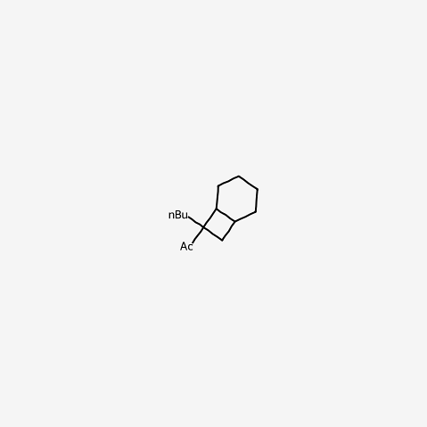 CCCCC1(C(C)=O)CC2CCCCC21